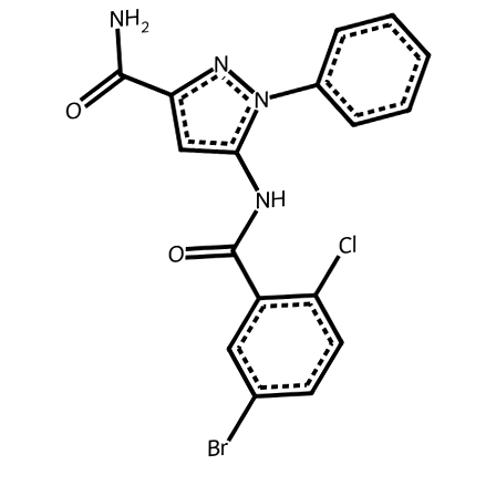 NC(=O)c1cc(NC(=O)c2cc(Br)ccc2Cl)n(-c2ccccc2)n1